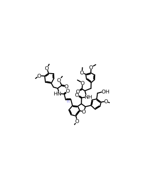 COC(=O)C(Cc1ccc(OC)c(OC)c1)NC(=O)/C=C/c1ccc(OC)c2c1C(C(=O)NC(Cc1ccc(OC)c(OC)c1)C(=O)OC)C(c1ccc(OC)c(CO)c1)O2